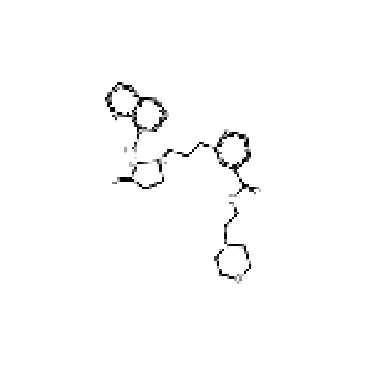 O=C(OCCN1CCOCC1)c1cccc(CCC[C@H]2CCC(=O)[C@@H]2Nc2cccc3cccnc23)c1